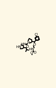 COC(=O)NCCOC(c1cccc(Cl)c1)C1CCCN(C(=O)NC2CNCCC2CC(C)C)C1